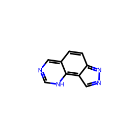 c1ncc2ccc3nncc3c2[nH]1